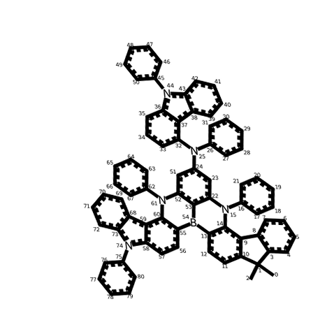 CC1(C)c2ccccc2-c2c1ccc1c2N(c2ccccc2)c2cc(N(c3ccccc3)c3cccc4c3c3ccccc3n4-c3ccccc3)cc3c2B1c1ccc2c(c1N3c1ccccc1)c1ccccc1n2-c1ccccc1